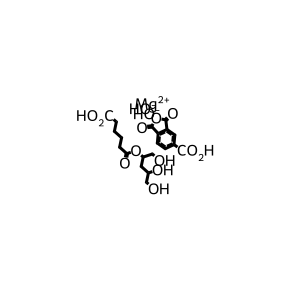 O=C(O)CCCCC(=O)OC(CO)CC(O)CO.O=C(O)c1ccc2c(c1)C(=O)OC2=O.[Mg+2].[OH-].[OH-]